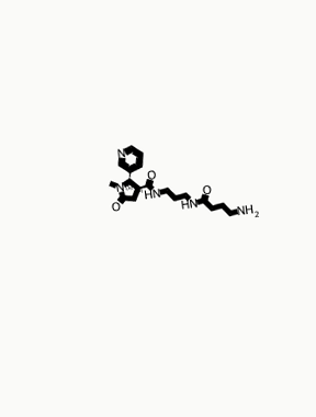 CN1C(=O)C[C@H](C(=O)NCCCNC(=O)CCCN)[C@H]1c1cccnc1